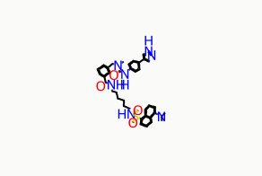 CN(Cc1cccc(C(=O)NCCCCCCNS(=O)(=O)c2cccc3c(N(C)C)cccc23)c1)C(=O)Nc1ccc(-c2cn[nH]c2)cc1